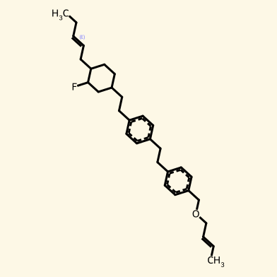 CC=CCOCc1ccc(CCc2ccc(CCC3CCC(C/C=C/CC)C(F)C3)cc2)cc1